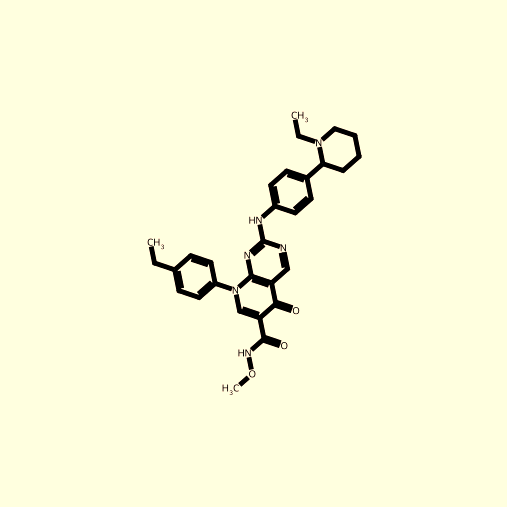 CCc1ccc(-n2cc(C(=O)NOC)c(=O)c3cnc(Nc4ccc(C5CCCCN5CC)cc4)nc32)cc1